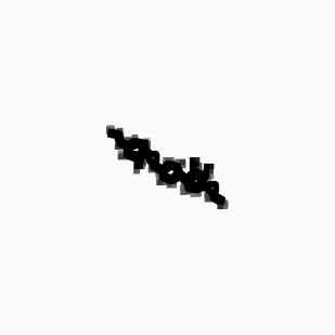 CCCc1ccc(OCC2CCC(c3ccc(OCC)c(F)c3F)CC2)c(F)c1